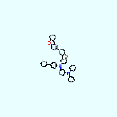 c1ccc(-c2ccc(N(c3cccc(N(c4ccccc4)c4ccccc4)c3)c3ccc4sc5ccc(-c6ccc7oc8ccccc8c7c6)cc5c4c3)cc2)cc1